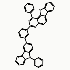 c1ccc(-c2nc(-c3cccc(-c4ccc5c(c4)c4ccccc4n5-c4ccccc4)c3)nc3ccc4c5ccccc5sc4c23)cc1